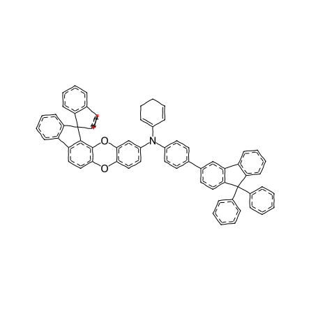 C1=CC(N(c2ccc(-c3ccc4c(c3)-c3ccccc3C4(c3ccccc3)c3ccccc3)cc2)c2ccc3c(c2)Oc2c(ccc4c2C2(c5ccccc5-c5ccccc52)c2ccccc2-4)O3)=CCC1